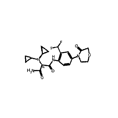 NC(=O)[C@H](C(=O)Nc1ccc(N2CCOCC2=O)cc1C(F)F)N(C1CC1)C1CC1